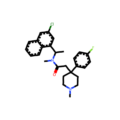 CC(c1cc(Cl)cc2ccccc12)N(C)C(=O)CC1(c2ccc(F)cc2)CCN(C)CC1